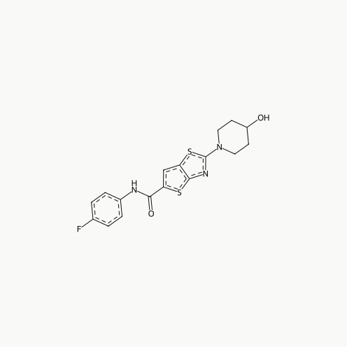 O=C(Nc1ccc(F)cc1)c1cc2sc(N3CCC(O)CC3)nc2s1